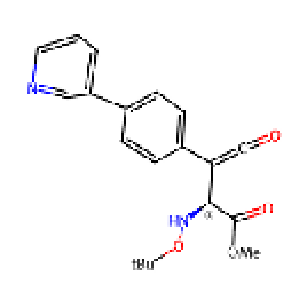 COC(=O)[C@@H](NOC(C)(C)C)C(=C=O)c1ccc(-c2cccnc2)cc1